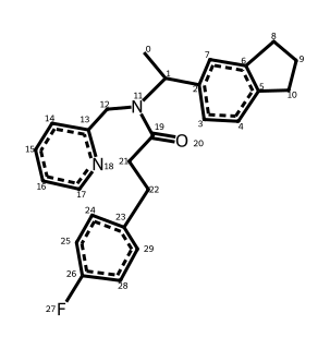 CC(c1ccc2c(c1)CCC2)N(Cc1ccccn1)C(=O)CCc1ccc(F)cc1